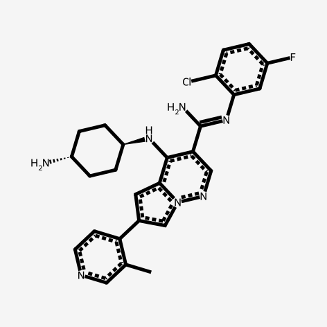 Cc1cnccc1-c1cc2c(N[C@H]3CC[C@H](N)CC3)c(/C(N)=N/c3cc(F)ccc3Cl)cnn2c1